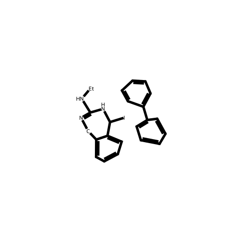 CCNC1=NCc2ccccc2C(I)N1.c1ccc(-c2ccccc2)cc1